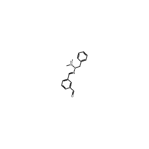 C[SiH](C)N(Cc1ccccc1)N=Cc1cccc(C=O)c1